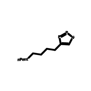 CCCCCCCCCC1=C[N]P=P1